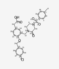 Cc1ccc(S(=O)(=O)N2CCN(Cc3cc(CC(=O)O)ccc3OCc3ccc(Cl)cc3)C(=O)C2)cc1